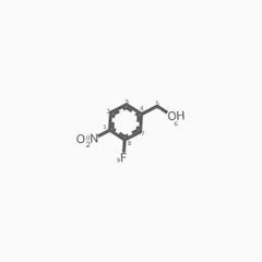 O=[N+]([O-])c1ccc([CH]O)cc1F